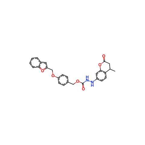 CC1CC(=O)Oc2cc(NNC(=O)OCc3ccc(OCc4cc5ccccc5o4)cc3)ccc21